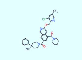 N#CC1(c2ccccc2)CCN(C(=O)c2cc(C(=O)N3CCCCC3)c3cc(OCc4ncc(C(F)(F)F)cc4Cl)ncc3c2)CC1